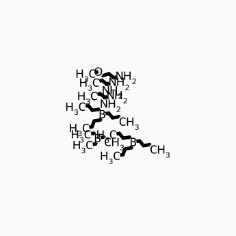 CCB(CC)CC.CCC(N)N.CCC(N)N.CCCCB(CCCC)CCCC.CCCCB(CCCC)CCCC.COCCCN